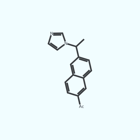 CC(=O)c1ccc2cc(C(C)n3ccnc3)ccc2c1